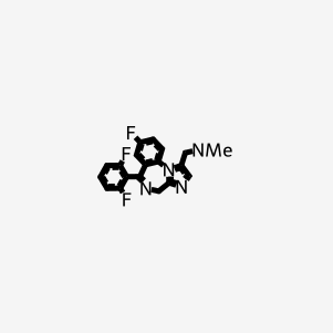 CNCc1cnc2n1-c1ccc(F)cc1C(c1c(F)cccc1F)=NC2